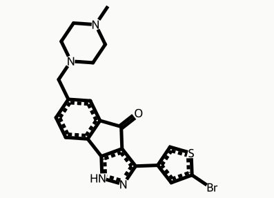 CN1CCN(Cc2ccc3c(c2)C(=O)c2c(-c4csc(Br)c4)n[nH]c2-3)CC1